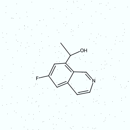 CC(O)c1cc(F)cc2ccncc12